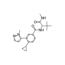 CNC(=O)C(NC(=O)c1ccc(C2CC2)c(-c2ccnn2C)c1)C(C)(C)C